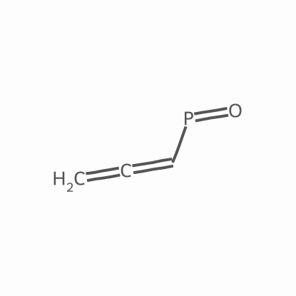 C=C=CP=O